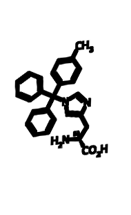 Cc1ccc(C(c2ccccc2)(c2ccccc2)n2cnc(C[C@H](N)C(=O)O)c2)cc1